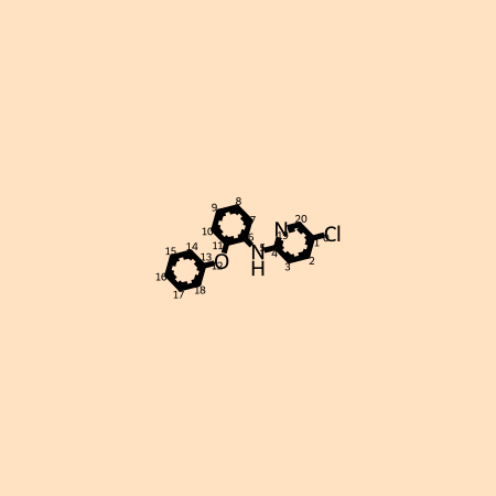 Clc1ccc(Nc2ccccc2Oc2ccccc2)nc1